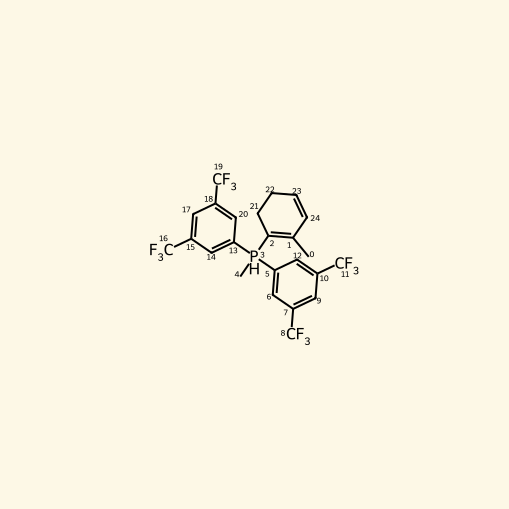 CC1=C([PH](C)(c2cc(C(F)(F)F)cc(C(F)(F)F)c2)c2cc(C(F)(F)F)cc(C(F)(F)F)c2)CCC=C1